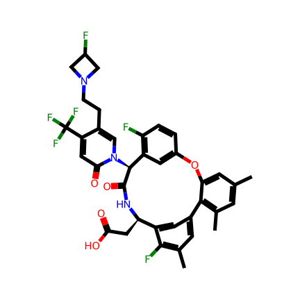 Cc1cc(C)c2c(c1)Oc1ccc(F)c(c1)[C@H](n1cc(CCN3CC(F)C3)c(C(F)(F)F)cc1=O)C(=O)N[C@H](CC(=O)O)c1cc-2cc(C)c1F